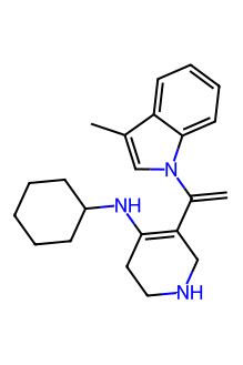 C=C(C1=C(NC2CCCCC2)CCNC1)n1cc(C)c2ccccc21